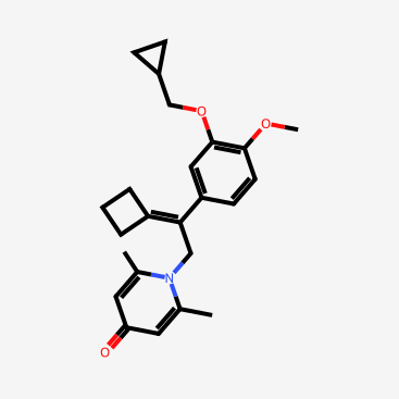 COc1ccc(C(Cn2c(C)cc(=O)cc2C)=C2CCC2)cc1OCC1CC1